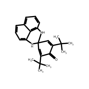 CC(C)(C)C1=CC2(C=C(C(C)(C)C)C1=O)Nc1cccc3cccc(c13)N2